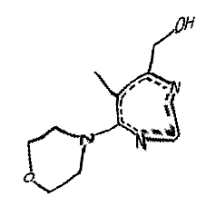 Cc1c(CO)ncnc1N1CCOCC1